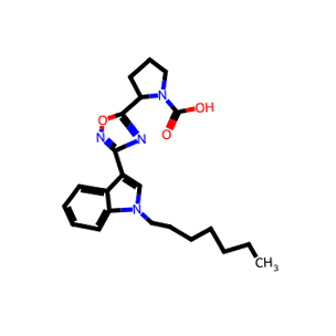 CCCCCCCn1cc(-c2noc(C3CCCN3C(=O)O)n2)c2ccccc21